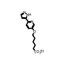 CCOC(=O)CCCCCOc1ccc(-c2ccn[nH]2)nc1